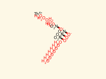 O.O.O.O.O.O.O.O.O.O.O.O.O=[N+]([O-])[O-].O=[N+]([O-])[O-].O=[N+]([O-])[O-].O=[N+]([O-])[O-].[Th+4]